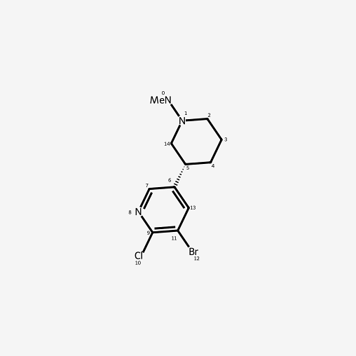 CNN1CCC[C@H](c2cnc(Cl)c(Br)c2)C1